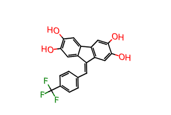 Oc1cc2c(cc1O)-c1cc(O)c(O)cc1C2=Cc1ccc(C(F)(F)F)cc1